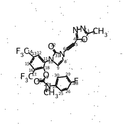 Cc1nnc(C#Cn2ccn(-c3cc(C(F)(F)F)cc(C(F)(F)F)c3OC(=O)N(C)c3ccc(F)cc3)c2=O)o1